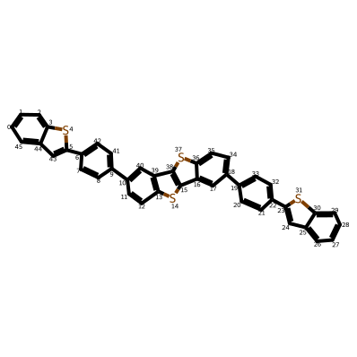 c1ccc2sc(-c3ccc(-c4ccc5sc6c7cc(-c8ccc(-c9cc%10ccccc%10s9)cc8)ccc7sc6c5c4)cc3)cc2c1